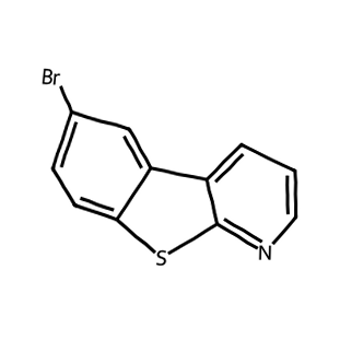 Brc1ccc2sc3ncccc3c2c1